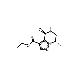 CCOC(=O)c1cnn2c1C(=O)NC[C@@H]2C